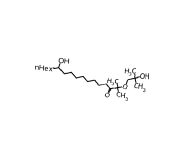 CCCCCCC(O)CCCCCCCCC(=O)C(C)(C)OCC(C)(C)O